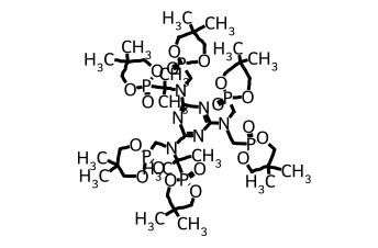 CC1(C)COP(=O)(CN(CP2(=O)OCC(C)(C)CO2)c2nc(N(CP3(=O)OCC(C)(C)CO3)C(C)(C)P3(=O)OCC(C)(C)CO3)nc(N(CP3(=O)OCC(C)(C)CO3)C(C)(C)P3(=O)OCC(C)(C)CO3)n2)OC1